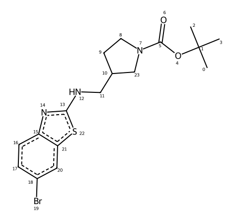 CC(C)(C)OC(=O)N1CCC(CNc2nc3ccc(Br)cc3s2)C1